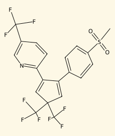 CS(=O)(=O)c1ccc(C2=CC(C(F)(F)F)(C(F)(F)F)C=C2c2ccc(C(F)(F)F)cn2)cc1